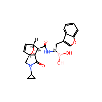 O=C(N[C@@H](Cc1coc2ccccc12)B(O)O)[C@H]1C2C(=O)N(C3CC3)C[C@]23C=C[C@H]1O3